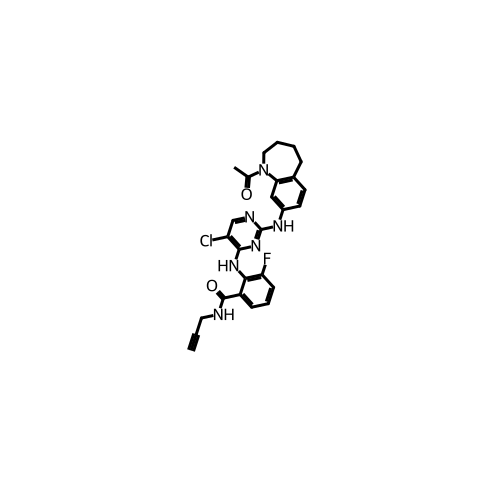 C#CCNC(=O)c1cccc(F)c1Nc1nc(Nc2ccc3c(c2)N(C(C)=O)CCCC3)ncc1Cl